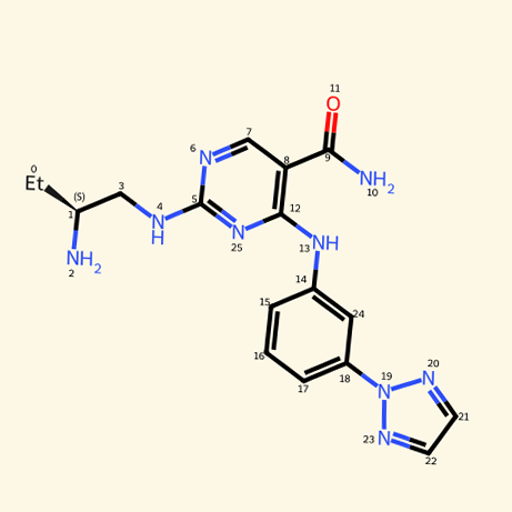 CC[C@H](N)CNc1ncc(C(N)=O)c(Nc2cccc(-n3nccn3)c2)n1